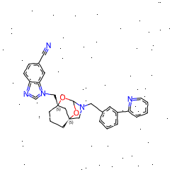 N#Cc1ccc2ncn(C[C@@]34CCC[C@@]5(CN(Cc6cccc(-c7ccccn7)c6)C(O5)O3)C4)c2c1